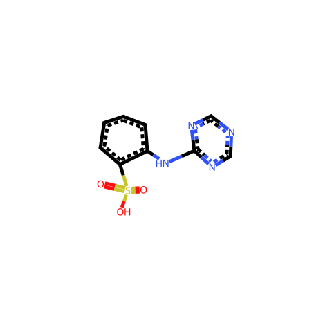 O=S(=O)(O)c1ccccc1Nc1ncncn1